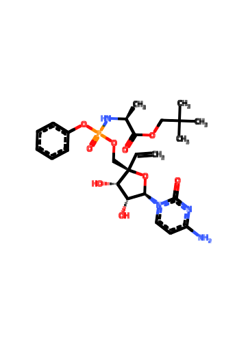 C=C[C@]1(COP(=O)(N[C@@H](C)C(=O)OCC(C)(C)C)Oc2ccccc2)O[C@@H](n2ccc(N)nc2=O)[C@H](O)[C@@H]1O